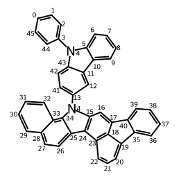 c1ccc(-n2c3ccccc3c3cc(-n4c5cc6c7c(cccc7c5c5ccc7ccccc7c54)-c4ccccc4-6)ccc32)cc1